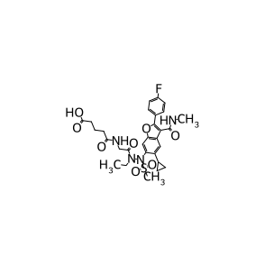 CCN(C(=O)CNC(=O)CCCC(=O)O)N(c1cc2oc(-c3ccc(F)cc3)c(C(=O)NC)c2cc1C1CC1)S(C)(=O)=O